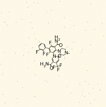 C[C@@H]1CN(c2c(C(N)=O)c(F)c(-c3cccc(F)c3F)c(F)c2-n2cc(C(N)=O)c(C(F)(F)F)cc2=O)C[C@H](C)N1C